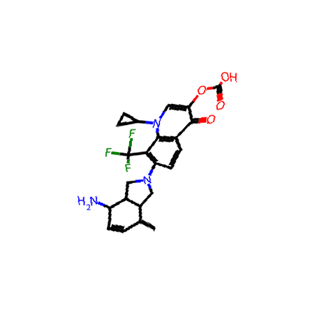 CC1C=CC(N)C2CN(c3ccc4c(=O)c(OC(=O)O)cn(C5CC5)c4c3C(F)(F)F)CC12